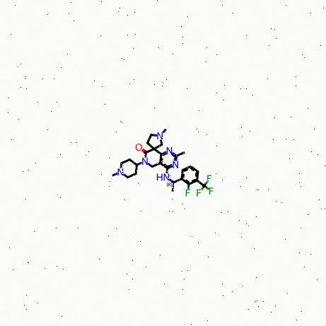 Cc1nc(N[C@H](C)c2cccc(C(F)(F)F)c2F)c2c(n1)C1(CCN(C)C1)C(=O)N(C1CCN(C)CC1)C2